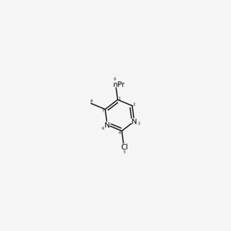 CCCc1cnc(Cl)nc1C